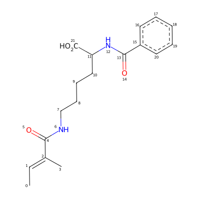 C/C=C(\C)C(=O)NCCCCC(NC(=O)c1ccccc1)C(=O)O